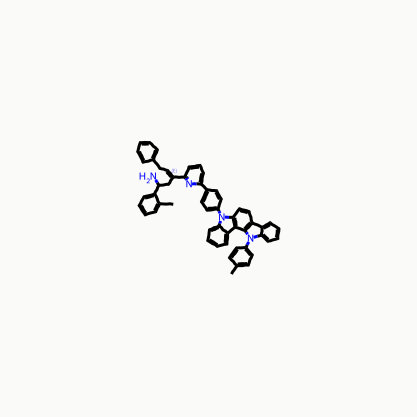 Cc1ccc(-n2c3ccccc3c3ccc4c(c5ccccc5n4-c4ccc(-c5cccc(/C(=C/Cc6ccccc6)CC(N)c6ccccc6C)n5)cc4)c32)cc1